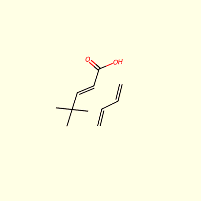 C=CC=C.CC(C)(C)C=CC(=O)O